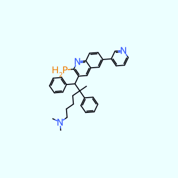 CN(C)CCCCC(C)(c1ccccc1)C(c1ccccc1)c1cc2cc(-c3cccnc3)ccc2nc1P